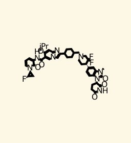 CC(C)Oc1cc2nc(C3CCC(CN4CC[C@@H](c5ccc6c(c5)n(C)c(=O)n6C5CCC(=O)NC5=O)C(F)(F)C4)CC3)cn2cc1C(=O)Nc1cccn([C@H]2C[C@H]2F)c1=O